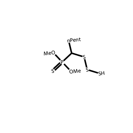 CCCCCC(SSS)P(=S)(OC)OC